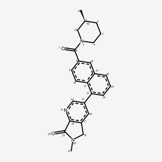 C[C@H]1CCCN(C(=O)c2ccc3c(-c4cnc5c(c4)CN(C)C5=O)cccc3c2)C1